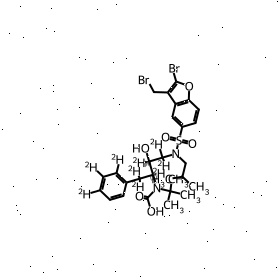 [2H]c1ccc(C([2H])([2H])[C@]([2H])(N(C(=O)O)C(C)(C)C)[C@]([2H])(O)C([2H])([2H])N(CC(C)C)S(=O)(=O)c2ccc3oc(Br)c(CBr)c3c2)c([2H])c1[2H]